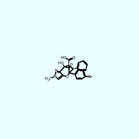 Cn1cc2c(n1)[C@@]1(O)C(=O)C(c3ccc(Br)cc3)(O2)[C@H](c2ccccc2)[C@@H]1C(=O)O